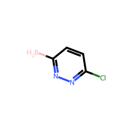 Bc1ccc(Cl)nn1